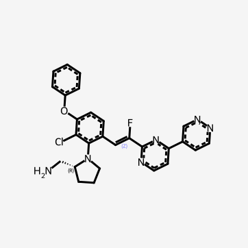 NC[C@H]1CCCN1c1c(/C=C(\F)c2nccc(-c3ccnnc3)n2)ccc(Oc2ccccc2)c1Cl